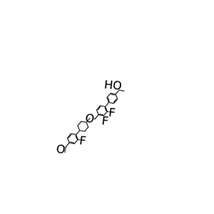 CC(O)c1ccc(-c2ccc(COC3CCC(c4ccc(C5CO5)cc4F)CC3)c(F)c2F)cc1